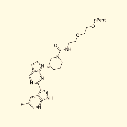 CCCCCOCCOCCNC(=O)N1CCC[C@H](n2ccc3cnc(-c4c[nH]c5ncc(F)cc45)nc32)C1